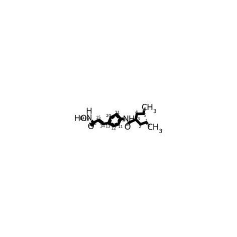 CCCC(CCC)C(=O)Nc1ccc(C=CC(=O)NO)cc1